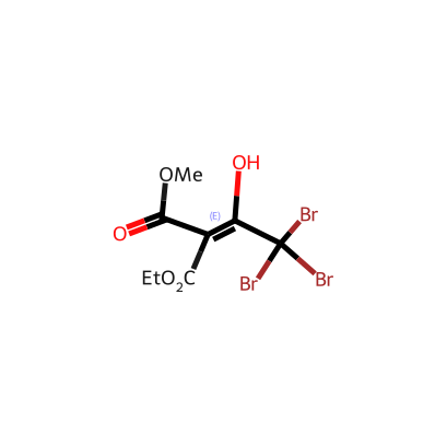 CCOC(=O)/C(C(=O)OC)=C(/O)C(Br)(Br)Br